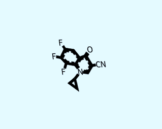 N#Cc1cn(C2CC2)c2c(F)c(F)c(F)cc2c1=O